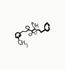 Cc1cccc(CCC(=O)C2=C(O)C(CCc3ccccc3)OC2=O)c1